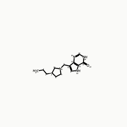 CCC[C@@H]1CCN(Cc2c[nH]c3c(=O)[nH]cnc23)C1